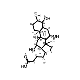 C[C@H](CCC(=O)O)[C@H]1CC[C@H]2[C@@H]3C(O)CC4C(O)C(O)CC[C@]4(C)[C@H]3CC(O)[C@]12C